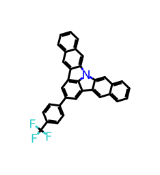 FC(F)(F)c1ccc(-c2cc3c4cc5ccccc5cc4n4c5cc6ccccc6cc5c(c2)c34)cc1